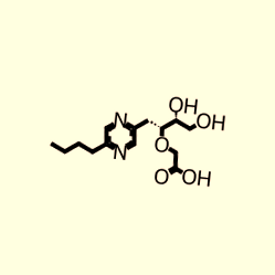 CCCCc1cnc(C[C@@H](OCC(=O)O)[C@H](O)CO)cn1